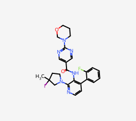 CC1(I)CCN(c2nccc(-c3ccccc3F)c2NC(=O)c2cnc(N3CCCOC3)nc2)C1